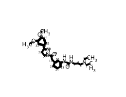 CCN(CC)CCCNC(=O)Nc1cccc(CC(=O)N2CCC(c3ccc(OC)c(OC)c3)=N2)c1